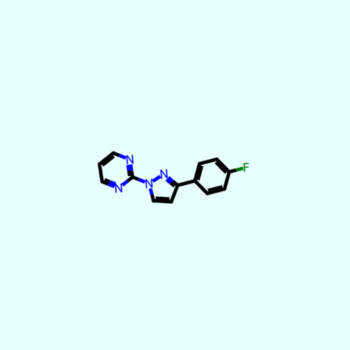 Fc1ccc(-c2ccn(-c3ncccn3)n2)cc1